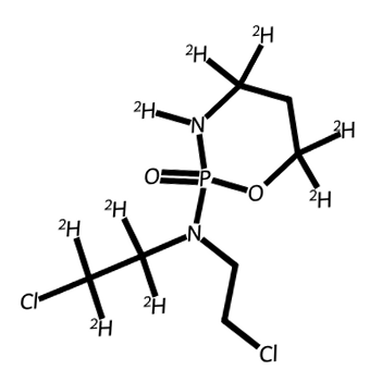 [2H]N1C([2H])([2H])CC([2H])([2H])OP1(=O)N(CCCl)C([2H])([2H])C([2H])([2H])Cl